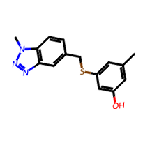 Cc1cc(O)cc(SCc2ccc3c(c2)nnn3C)c1